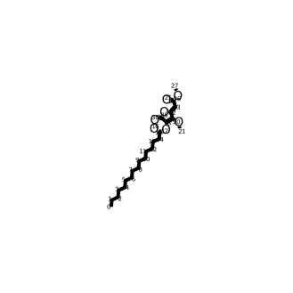 CCCCCCCCCCCCCCCC(=O)OC1=C(OC)/C(=C/C(=O)OC)OC1=O